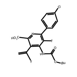 C=C(F)c1c(C(=O)O)nc(-c2ccc(Cl)cc2)c(F)c1NC(=O)OC(C)(C)C